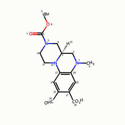 CN1C[C@@H]2CN(C(=O)OC(C)(C)C)CCN2c2cc(C=O)c(C(=O)O)cc21